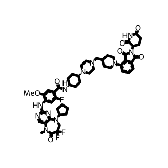 COc1cc(C(=O)N[C@H]2CC[C@H](N3CCN(CC4CCN(c5cccc6c5C(=O)N(C5CCC(=O)NC5=O)C6=O)CC4)CC3)CC2)c(F)cc1Nc1ncc2c(n1)N(C1CCCC1)CC(F)(F)C(=O)N2C